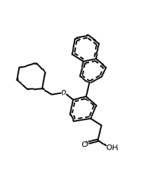 O=C(O)Cc1ccc(OCC2CCCCC2)c(-c2ccc3ccccc3c2)c1